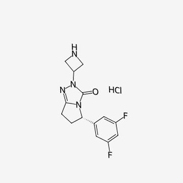 Cl.O=c1n(C2CNC2)nc2n1[C@H](c1cc(F)cc(F)c1)CC2